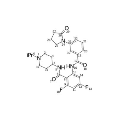 CC(C)N1CCC(NC(=O)c2c(F)cc(F)cc2NC(=O)c2cccc(N3CCCC3=O)c2)CC1